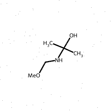 COCNC(C)(C)O